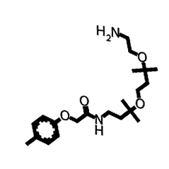 Cc1ccc(OCC(=O)NCCC(C)(C)OCCC(C)(C)OCCN)cc1